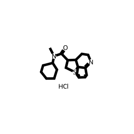 CN(C(=O)C1CSC23C=CC=CC2=NCCC13)C1CCCCC1.Cl